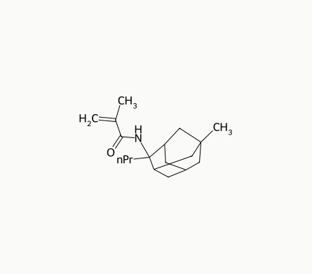 C=C(C)C(=O)NC1(CCC)C2CC3CC1CC(C)(C3)C2